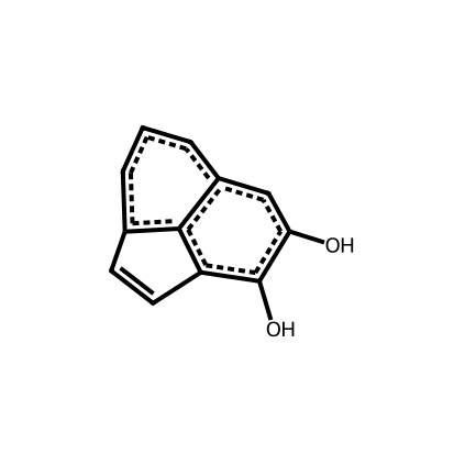 Oc1cc2cccc3c2c(c1O)C=C3